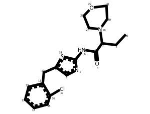 CCC(C(=O)Nc1ncc(Cc2ccccc2Cl)s1)N1CCOCC1